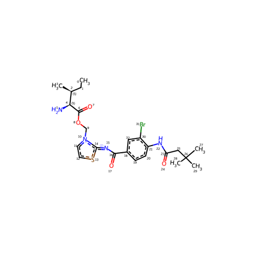 CC[C@H](C)[C@H](N)C(=O)OCn1ccs/c1=N\C(=O)c1ccc(NC(=O)CC(C)(C)C)c(Br)c1